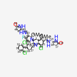 COc1nc(C2(c3ccc4c(OC)c(CNC[C@H]5CCC(=O)N5)cc(Cl)c4n3)C=CC=C(c3ccccc3Cl)C2Cl)cc(F)c1CNC[C@@H]1CCC(=O)N1